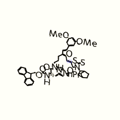 CCCn1cnc(C[C@H](NC(=O)OCC2c3ccccc3-c3ccccc32)C(=O)NCCCc2cc(-c3cc(OC)cc(OC)c3)oc2/C=C2\SC(=S)N(C3CC4CCC3C4)C2=O)c1